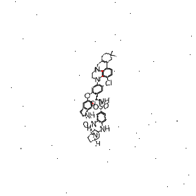 CN1[C@@H]2CC[C@H]1CC(Nc1ccc(S(=O)(=O)NC(=O)c3ccc(N4CCN(CC5=C(c6ccc(Cl)cc6)CC(C)(C)CC5)CC4)cc3Oc3ccc4[nH]ccc4c3)cc1[N+](=O)[O-])C2